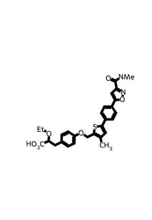 CCOC(Cc1ccc(OCc2sc(-c3ccc(-c4cc(C(=O)NC)no4)cc3)cc2C)cc1)C(=O)O